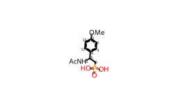 COc1ccc(C(CP(=O)(O)O)NC(C)=O)cc1